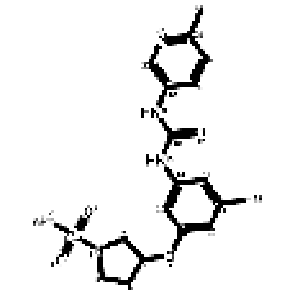 CCCS(=O)(=O)N1CCC(Oc2cc(F)cc(NC(=O)Nc3ccc(C)nc3)c2)C1